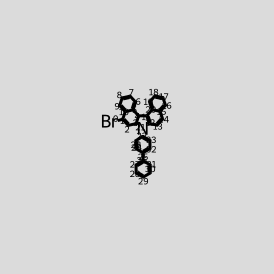 BrC1=CC2C(c3ccccc31)c1c(ccc3ccccc13)N2c1ccc(-c2ccccc2)cc1